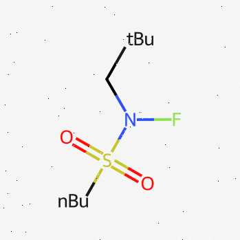 CCCCS(=O)(=O)N(F)CC(C)(C)C